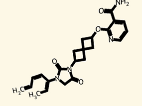 C=C/C=C\C(=C/C)N1CC(=O)N(C2CC3(CC(Oc4ncccc4C(N)=O)C3)C2)C1=O